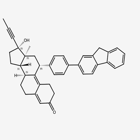 CC#C[C@]1(O)CC[C@H]2[C@@H]3CCC4=CC(=O)CCC4=C3[C@@H](c3ccc(-c4ccc5c(c4)Cc4ccccc4-5)cc3)C[C@@]21C